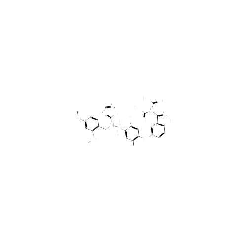 COc1ccc(CN(c2ncns2)S(=O)(=O)c2cc(F)c(Oc3ccc4onc(N(C(=O)O)C(=O)O)c4c3)cc2F)c(OC)c1